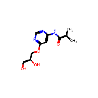 CC(C)C(=O)Nc1cc(OC[C@@H](O)CO)ncn1